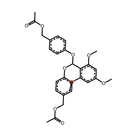 COc1cc(OC)c(C(Oc2ccc(COC(C)=O)cc2)Oc2ccc(COC(C)=O)cc2)c(OC)c1